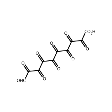 O=CC(=O)C(=O)C(=O)C(=O)C(=O)C(=O)C(=O)C(=O)C(=O)O